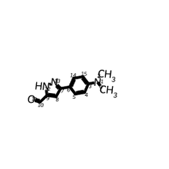 CN(C)c1ccc(-c2cc(C=O)[nH]n2)cc1